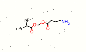 CCCC(CCC)C(=O)OCOC(=O)CCCN